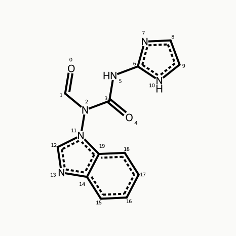 O=CN(C(=O)Nc1ncc[nH]1)n1cnc2ccccc21